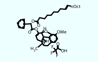 CCCCCCCCC=CCCCCCCCC(=O)O[C@H](C(=O)OC1=CC[C@]2(O)C3Cc4ccc(OC)c5c4[C@@]2(CCN3C)[C@H]1O5)c1ccccc1.O=C(O)C(F)(F)F